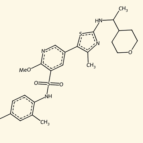 COc1ncc(-c2sc(NC(C)C3CCOCC3)nc2C)cc1S(=O)(=O)Nc1ccc(F)cc1C